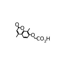 Cc1cc(=O)oc2c(C)c(OCC(=O)O)ccc12